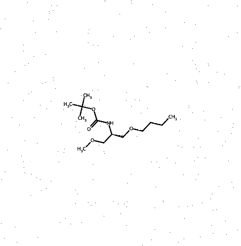 CCCCOC[C@@H](COC)NC(=O)OC(C)(C)C